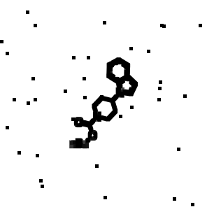 CCCCOC(=O)N1CCC(n2ccc3ccccc32)CC1